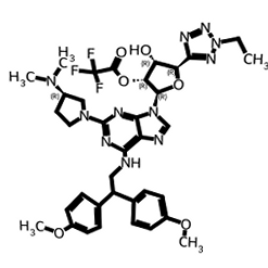 CCn1nnc([C@H]2O[C@@H](n3cnc4c(NCC(c5ccc(OC)cc5)c5ccc(OC)cc5)nc(N5CC[C@@H](N(C)C)C5)nc43)[C@H](OC(=O)C(F)(F)F)[C@@H]2O)n1